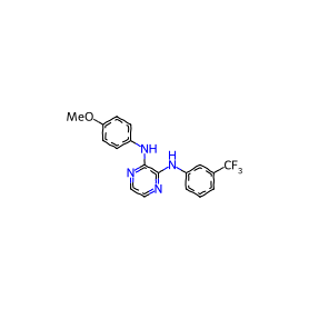 COc1ccc(Nc2nccnc2Nc2cccc(C(F)(F)F)c2)cc1